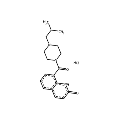 CC(C)CN1CCN(C(=O)c2cccc3ccc(=O)[nH]c23)CC1.Cl